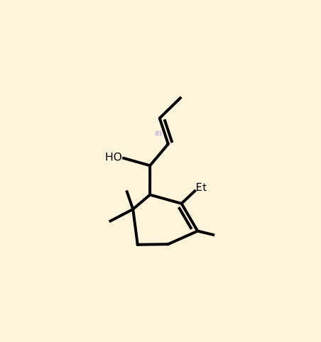 C/C=C/C(O)C1C(CC)=C(C)CCC1(C)C